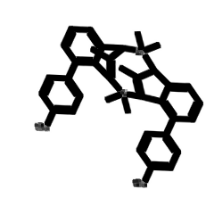 CC1=C2c3c(-c4ccc(C(C)(C)C)cc4)cccc3[CH]1[Zr]([CH3])([CH3])[CH]1C(C)=C(c3c(-c4ccc(C(C)(C)C)cc4)cccc31)[Si]2(C)C